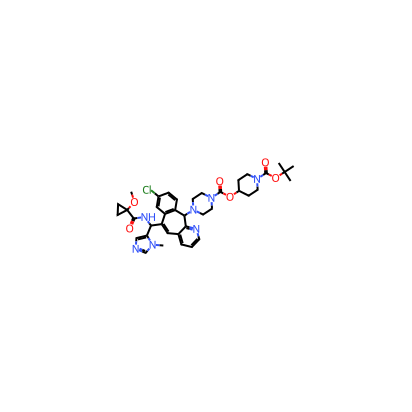 COC1(C(=O)NC(C2=Cc3cccnc3C(N3CCN(C(=O)OC4CCN(C(=O)OC(C)(C)C)CC4)CC3)c3ccc(Cl)cc32)c2cncn2C)CC1